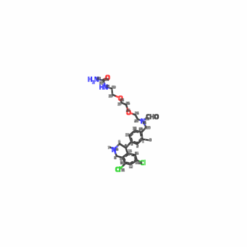 Cc1cc(C2CN(C)Cc3c(Cl)cc(Cl)cc32)ccc1CN(C=O)CCOCCOCCNC(N)=O